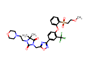 COCCS(=O)(=O)c1ccccc1Oc1ccc(-c2noc(CN3C(=O)N(CCN4CCOCC4)C(C)(C)C3=O)n2)cc1C(F)(F)F